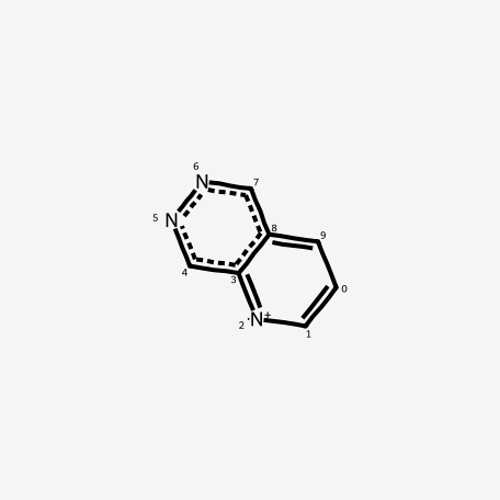 C1=C[N+]=c2cnncc2=C1